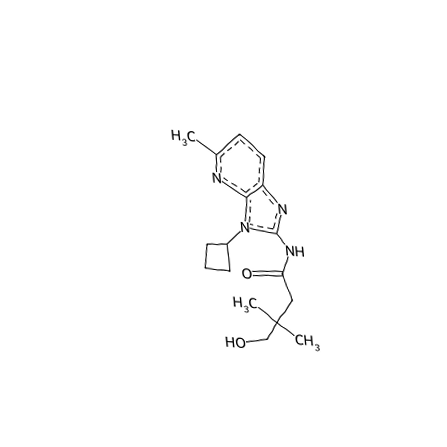 Cc1ccc2nc(NC(=O)CC(C)(C)CO)n(C3CCC3)c2n1